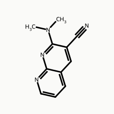 CN(C)c1nc2ncccc2cc1C#N